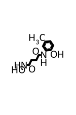 Cc1ccc(O)c(NC(=O)CCC(=O)NO)c1